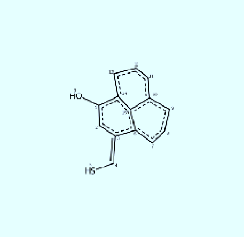 Oc1cc(=CS)c2cccc3cccc1c32